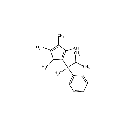 CC1=C(C)C(C)C([Si](C)(c2ccccc2)C(C)C)=C1C